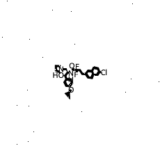 O=C(N[C@H](CN1CCCC1)[C@H](O)c1ccc(OC2CC2)cc1)C(F)(F)CCc1ccc2cc(Cl)ccc2c1